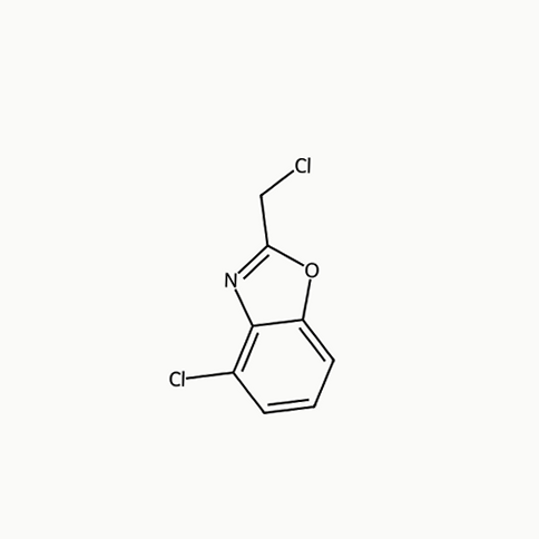 ClCc1nc2c(Cl)cccc2o1